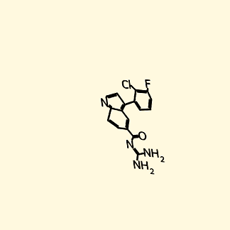 NC(N)=NC(=O)c1ccc2nccc(-c3cccc(F)c3Cl)c2c1